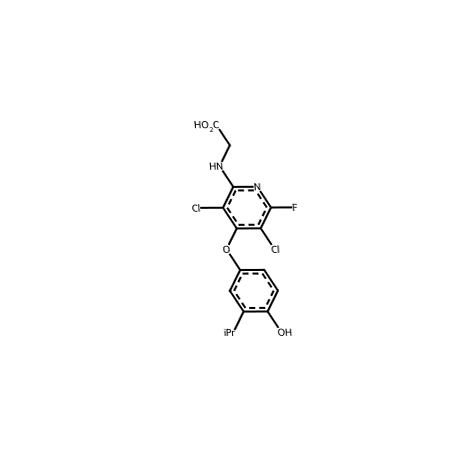 CC(C)c1cc(Oc2c(Cl)c(F)nc(NCC(=O)O)c2Cl)ccc1O